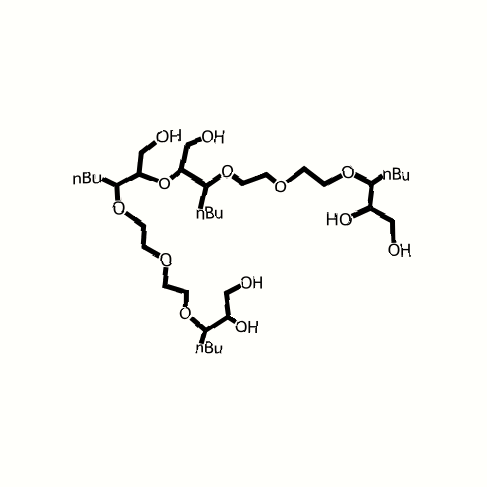 CCCCC(OCCOCCOC(CCCC)C(CO)OC(CO)C(CCCC)OCCOCCOC(CCCC)C(O)CO)C(O)CO